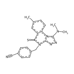 Cc1ccc2c(c1)c(=S)n(Cc1ccc(C#N)cc1)c1nnc(N(C)C)n21